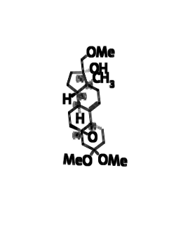 COC[C@]1(O)CC[C@H]2[C@@H]3CC[C@@]45CC(OC)(OC)CC[C@@]4(O5)C3=CC[C@@]21C